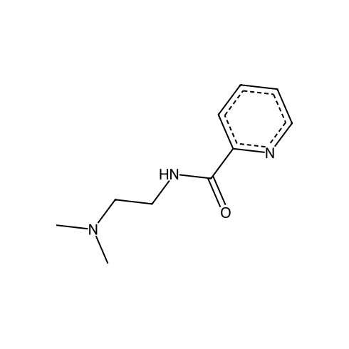 CN(C)CCNC(=O)c1ccccn1